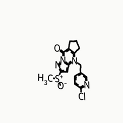 C[S+]([O-])c1cc2n(Cc3ccc(Cl)nc3)c3c(c(=O)n2n1)CCC3